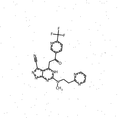 CN(CCc1ncccn1)c1nc2nnc(C#N)c-2c(CC(=O)c2ccc(C(F)(F)F)nc2)[nH]1